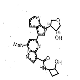 CNc1cc(-c2cn([C@H]3COC[C@@H]3O)c3ncccc23)nc2c(C(=O)NC3CCC3O)cnn12